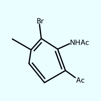 CC(=O)Nc1c(C(C)=O)ccc(C)c1Br